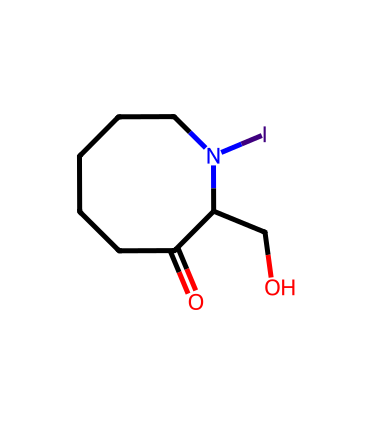 O=C1CCCCCN(I)C1CO